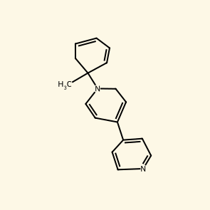 CC1(N2C=CC(c3ccncc3)=CC2)C=CC=CC1